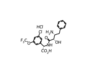 Cl.N[C@H](Cc1ccccc1)[C@H](O)C(=O)N[C@H](C(=O)O)c1cc(Cl)cc(OC(F)(F)F)c1